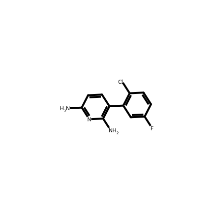 Nc1ccc(-c2cc(F)ccc2Cl)c(N)n1